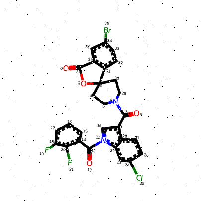 O=C1OC2(CCN(C(=O)c3cn(C(=O)c4cccc(F)c4F)c4cc(Cl)ccc34)CC2)c2ccc(Br)cc21